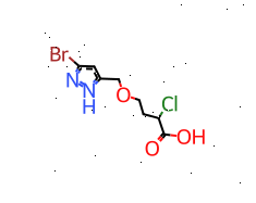 O=C(O)C(Cl)CCOCc1cc(Br)n[nH]1